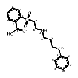 O=C(O)c1ccccc1S(=O)(=O)CCNCCCOc1ccccc1